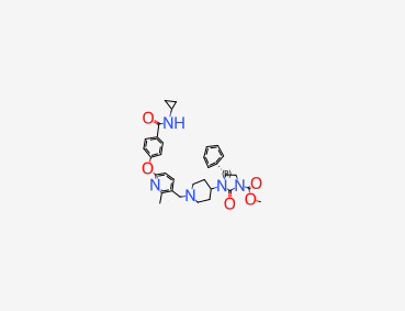 COC(=O)N1C[C@@H](c2ccccc2)N(C2CCN(Cc3ccc(Oc4ccc(C(=O)NC5CC5)cc4)nc3C)CC2)C1=O